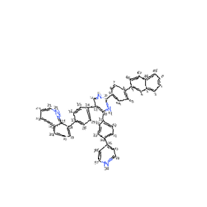 c1ccc2cc(-c3ccc(-c4ncc(-c5ccc(-c6cccc7cccnc67)cc5)c(-c5ccc(-c6ccncc6)cc5)n4)cc3)ccc2c1